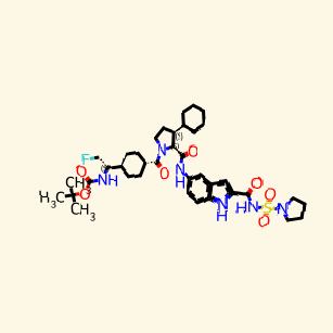 CC(C)(C)OC(=O)N[C@H](CF)[C@H]1CC[C@H](C(=O)N2CC[C@@H](C3CCCCC3)[C@H]2C(=O)Nc2ccc3[nH]c(C(=O)NS(=O)(=O)N4CCCC4)cc3c2)CC1